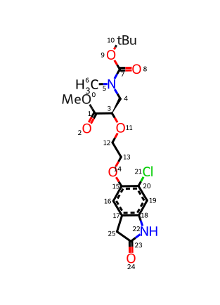 COC(=O)[C@@H](CN(C)C(=O)OC(C)(C)C)OCCOc1cc2c(cc1Cl)NC(=O)C2